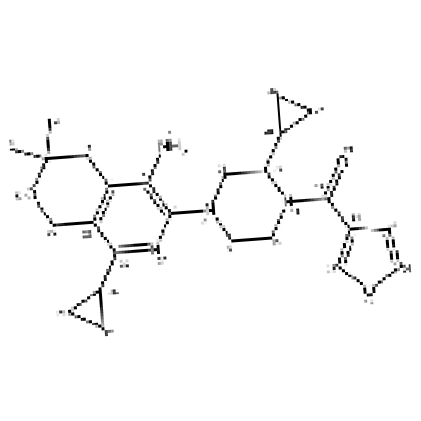 CC1(C)Cc2c(N)c(N3CCN(C(=O)c4ccoc4)C(C4CC4)C3)nc(C3CC3)c2CO1